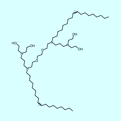 CCCCCCCC/C=C\CCCCCCCCN(CCCN(CCO)CCO)CCOCCOCCN(CCCCCCCC/C=C\CCCCCCCC)CCCN(CCO)CCO